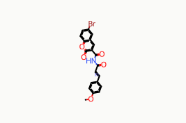 COc1ccc(/C=C/C(=O)NC(=O)c2cc3cc(Br)ccc3oc2=O)cc1